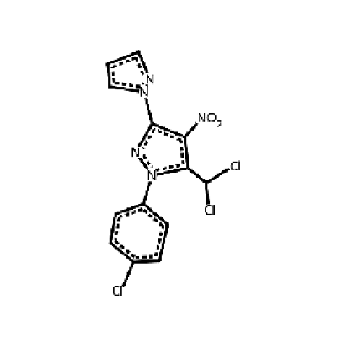 O=[N+]([O-])c1c(-n2cccn2)nn(-c2ccc(Cl)cc2)c1C(Cl)Cl